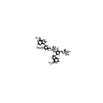 CO[C@@H]1C[C@@](C)(CO[P@@](=O)(S)O[C@@H]2[C@@H](F)[C@@H](CO[P@](=O)(O)S)O[C@H]2n2cnc3c(N)ncnc32)O[C@H]1n1cnc2c(N)ncnc21